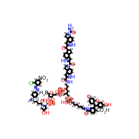 BC1CC(OP(=O)(O)OC[C@@H]2C[C@@H](O)CN2C(=O)CCCN(C)c2ccc(/N=N/c3ccc([N+](=O)[O-])cc3Cl)cc2)C(COP(=O)(O)OCC(CCCCNC(=O)c2cc3c4c(ccc3[nH]2)N(C(=O)c2cc3c5c(ccc3[nH]2)C(C(=O)c2cc3c6c(ccc3[nH]2)N(C(N)=O)CC6)CC5)CC4)COP(=O)(O)OCCCCCCNC(=O)c2ccc(C(=O)O)c(C3c4ccc(O)cc4OC4=CC(=O)C=CC43)c2)O1